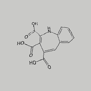 O=C(O)C1=Cc2ccccc2NC(C(=O)O)=C1C(=O)O